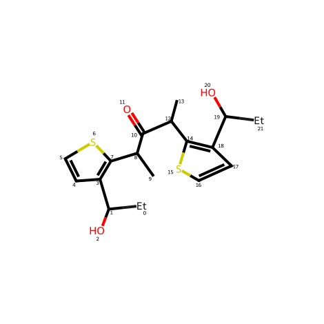 CCC(O)c1ccsc1C(C)C(=O)C(C)c1sccc1C(O)CC